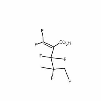 CC(F)(CF)C(F)(F)C(C(=O)O)=C(F)F